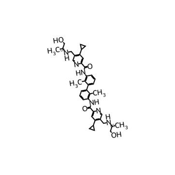 Cc1c(NC(=O)c2cc(C3CC3)c(CN[C@@H](C)CO)cn2)cccc1-c1cccc(NC(=O)c2cc(C3CC3)c(CN[C@@H](C)CO)cn2)c1C